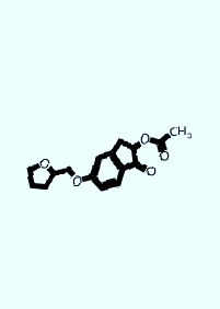 CC(=O)OC1Cc2cc(OCC3CCCO3)ccc2C1=O